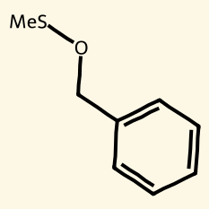 CSOCc1ccccc1